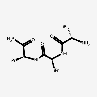 BC(=O)[C@@H](NC(=O)[C@@H](NC(=O)[C@@H](N)C(C)C)C(C)C)C(C)C